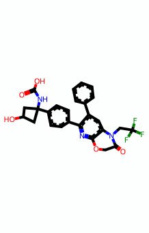 O=C(O)NC1(c2ccc(-c3nc4c(cc3-c3ccccc3)N(CC(F)(F)F)C(=O)CO4)cc2)CC(O)C1